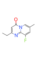 CCc1cc(=O)n2cc(C)cc(F)c2n1